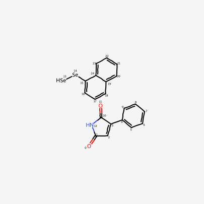 O=C1C=C(c2ccccc2)C(=O)N1.[SeH][Se]c1cccc2ccccc12